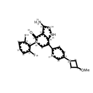 COC1CN(c2ccc(-c3cn(-c4c(F)cccc4F)c(=O)c4c(N)n[nH]c34)nc2)C1